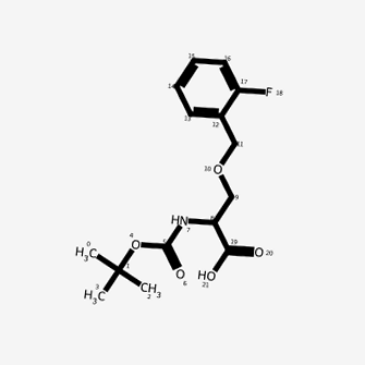 CC(C)(C)OC(=O)NC(COCc1ccccc1F)C(=O)O